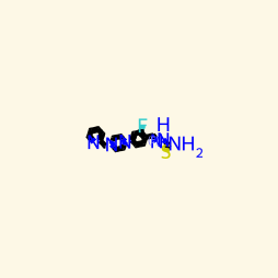 NC(=S)N/N=C/c1ccc(N2CCN(Cc3ccccn3)CC2)cc1F